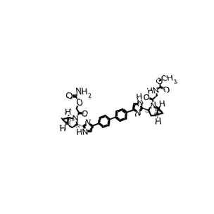 COC(=O)NCC(=O)N1[C@@H]2C[C@H]2C[C@H]1c1nc(-c2ccc(-c3ccc(-c4c[nH]c([C@@H]5C[C@H]6C[C@H]6N5C(=O)COC(N)=O)n4)cc3)cc2)c[nH]1